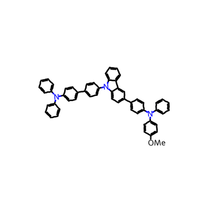 COc1ccc(N(c2ccccc2)c2ccc(-c3ccc4c(c3)c3ccccc3n4-c3ccc(-c4ccc(N(c5ccccc5)c5ccccc5)cc4)cc3)cc2)cc1